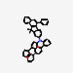 CC1(C)c2cc(N(c3ccc(-c4ccccc4)cc3)c3ccccc3-c3ccc(-c4ccccc4)cc3)ccc2-c2c(-c3ccccc3)cc3ccccc3c21